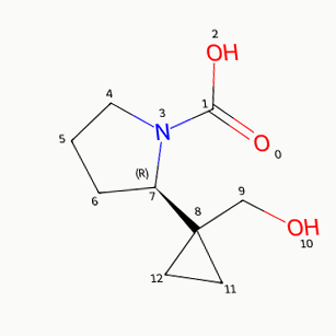 O=C(O)N1CCC[C@@H]1C1(CO)CC1